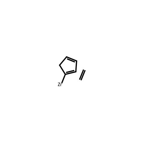 C=C.[Zr][C]1=CC=CC1